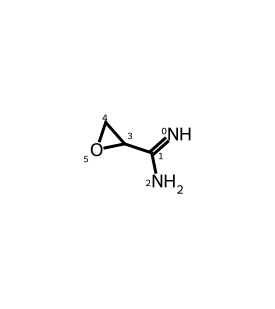 N=C(N)C1CO1